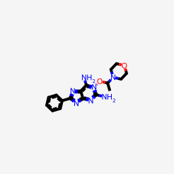 CC(On1c(N)nc2nc(-c3ccccc3)nc-2c1N)N1CCOCC1